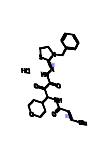 CC(C)(C)/C=C/C(=O)NC(C(=O)C(=O)N/N=C1\SCCN1Cc1ccccc1)C1CCOCC1.Cl